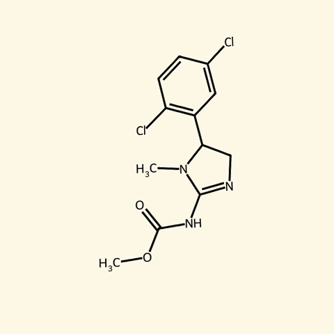 COC(=O)NC1=NCC(c2cc(Cl)ccc2Cl)N1C